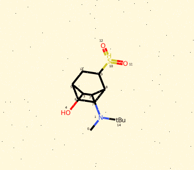 CN(C1C(O)C2CCC1C([SH](=O)=O)C2)C(C)(C)C